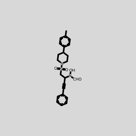 Cc1ccc(C2CCN(S(=O)(=O)CC(C#Cc3ccccc3)N(O)C=O)CC2)cc1